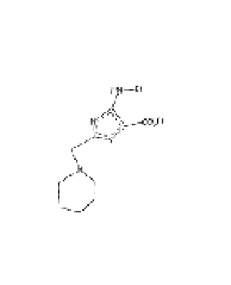 CCNc1nc(CN2CCCCC2)sc1C(=O)OCC